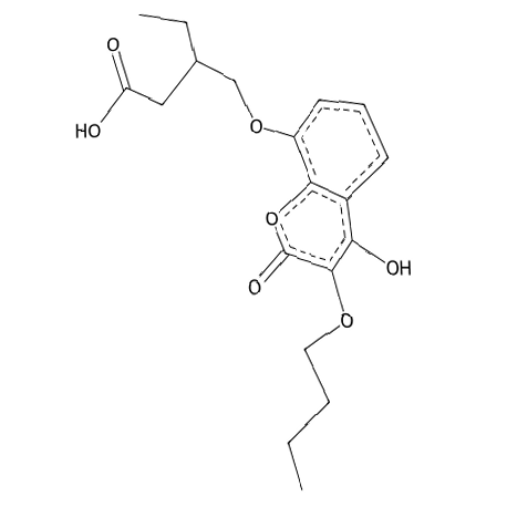 CCCCOc1c(O)c2cccc(OCC(CC)CC(=O)O)c2oc1=O